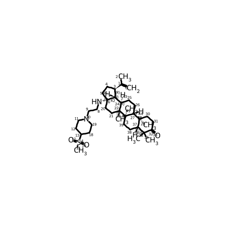 C=C(C)[C@@H]1CC[C@]2(NCCN3CCC(S(C)(=O)=O)CC3)CC[C@]3(C)[C@H](CC[C@@H]4[C@@]5(C)CCC(=O)C(C)(C)[C@@H]5CC[C@]43C)[C@@H]12